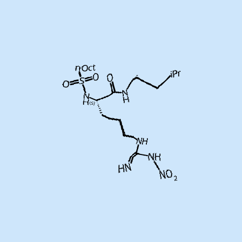 CCCCCCCCS(=O)(=O)N[C@@H](CCCNC(=N)N[N+](=O)[O-])C(=O)N[CH]CC(C)C